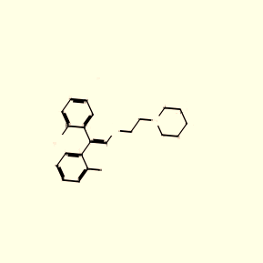 CCc1ccccc1C(=COCCN1CCC[C@@H](C(=O)O)C1)c1ccccc1CC.Cl